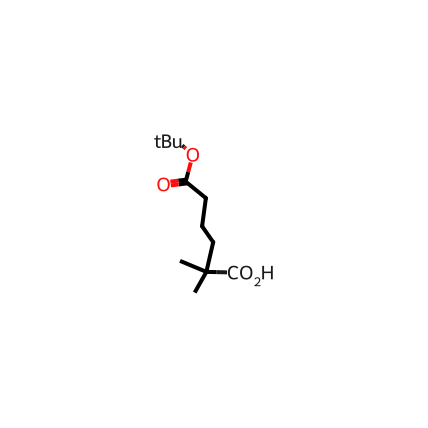 CC(C)(C)OC(=O)CCCC(C)(C)C(=O)O